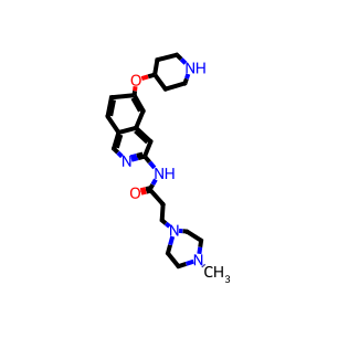 CN1CCN(CCC(=O)Nc2cc3cc(OC4CCNCC4)ccc3cn2)CC1